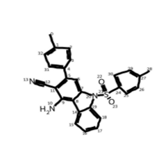 Cc1ccc(-c2cc3c(c(N)c2C#N)c2ccccc2n3S(=O)(=O)c2ccc(C)cc2)cc1